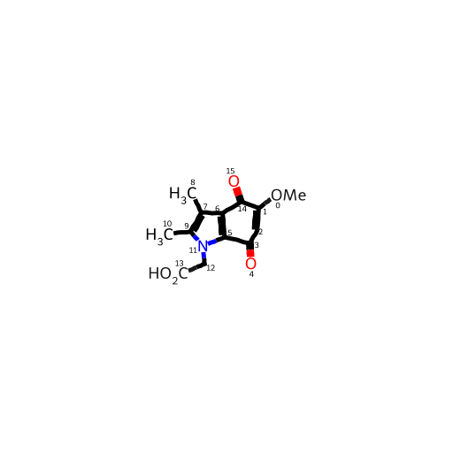 COC1=CC(=O)c2c(c(C)c(C)n2CC(=O)O)C1=O